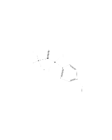 [2H]C([2H])([2H])C(=O)C([2H])([2H])c1ccc(OC)cc1